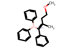 COCC/C(C)=C(\B(c1ccccc1)c1ccccc1)c1ccccc1